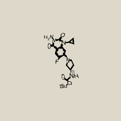 CC(C)(C)OC(=O)N[C@H]1CCN(c2cc3c(cc2F)c(=O)n(N)c(=O)n3C2CC2)C1